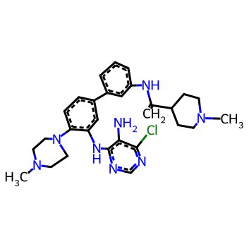 C=C(Nc1cccc(-c2ccc(N3CCN(C)CC3)c(Nc3ncnc(Cl)c3N)c2)c1)C1CCN(C)CC1